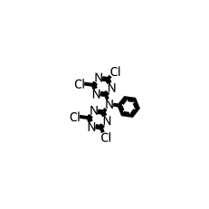 Clc1nc(Cl)nc(N(c2ccccc2)c2nc(Cl)nc(Cl)n2)n1